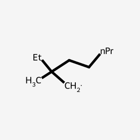 [CH2]C(C)(CC)CCCCC